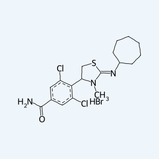 Br.CN1C(=NC2CCCCCC2)SCC1c1c(Cl)cc(C(N)=O)cc1Cl